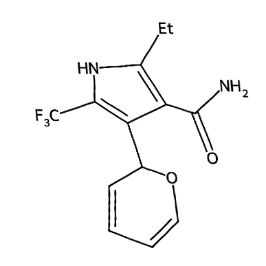 CCc1[nH]c(C(F)(F)F)c(C2C=CC=CO2)c1C(N)=O